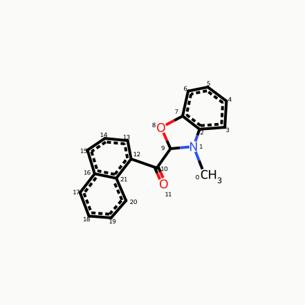 CN1c2ccccc2OC1C(=O)c1cccc2ccccc12